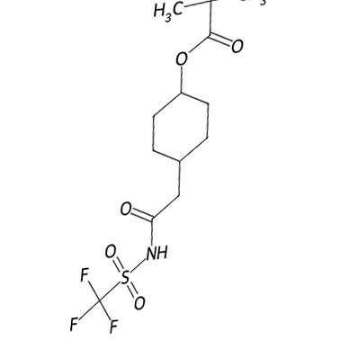 CC(C)(C)C(=O)OC1CCC(CC(=O)NS(=O)(=O)C(F)(F)F)CC1